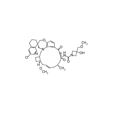 COCC1(O)CN(C(=O)NS2(=O)=NC(=O)c3ccc4c(c3)N(C[C@@H]3CC[C@H]3[C@@H](OC)/C=C/C[C@H](C)C2)C[C@@]2(CCCc3cc(Cl)ccc32)CO4)C1